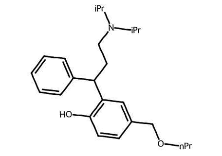 CCCOCc1ccc(O)c(C(CCN(C(C)C)C(C)C)c2ccccc2)c1